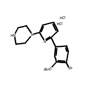 CC(C)COc1cc(-c2cccc(N3CCNCC3)n2)ccc1C(C)C.Cl.Cl